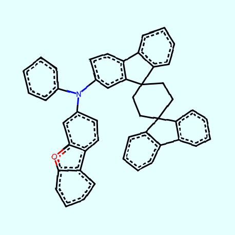 c1ccc(N(c2ccc3c(c2)C2(CCC4(CC2)c2ccccc2-c2ccccc24)c2ccccc2-3)c2ccc3c(c2)oc2ccccc23)cc1